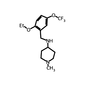 CCOc1ccc(OC(F)(F)F)cc1CNC1CCN(C)CC1